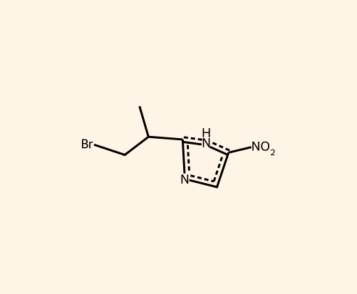 CC(CBr)c1ncc([N+](=O)[O-])[nH]1